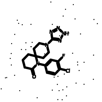 O=C1CCCC2(CCN(c3nn[nH]n3)CC2)N1c1ccc(Cl)c(F)c1